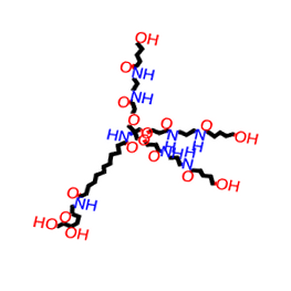 O=C(CCCCO)NCCCNC(=O)CCOCC(COCCC(=O)NCCCNC(=O)CCCCO)(COCCC(=O)NCCCNC(=O)CCCCO)NC(=O)CCCCCCCCCCC(=O)NCC1CCC(O)C(CO)O1